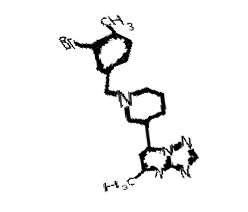 Cc1cc(C2CCCN(Cc3ccc(C)c(Br)c3)C2)n2ncnc2n1